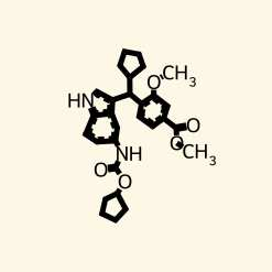 COC(=O)c1ccc(C(c2c[nH]c3ccc(NC(=O)OC4CCCC4)cc23)C2CCCC2)c(OC)c1